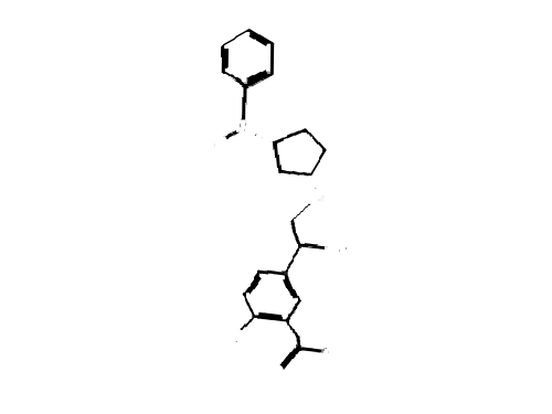 CN(c1ccccc1)[C@@H]1CC[C@H](NCC(O)c2ccc(O)c(C(N)=O)c2)C1